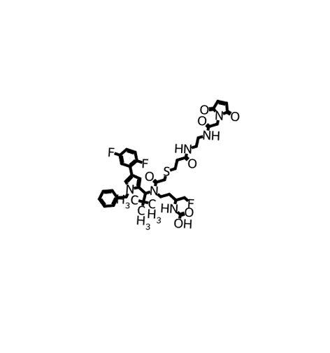 CC(C)(C)C(c1cc(-c2cc(F)ccc2F)cn1Cc1ccccc1)N(CCC(CF)NC(=O)O)C(=O)CSCCC(=O)NCCNC(=O)CN1C(=O)C=CC1=O